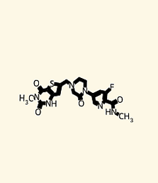 CNC(=O)c1ncc(N2CCN(Cc3cc4[nH]c(=O)n(C)c(=O)c4s3)CC2=O)cc1F